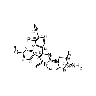 C=C1C(c2ccc(OC)cc2)=C(c2ccc(C#N)c(F)c2)N=C(N2CC[C@H](N)[C@H](F)C2)N1C